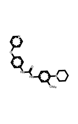 COc1cc(NC(=O)Nc2ccc(Oc3ccncc3)cc2)ccc1N1CCCCC1